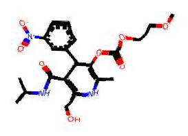 COCCOC(=O)OC1=C(C)NC(CO)=C(C(=O)NC(C)C)C1c1cccc([N+](=O)[O-])c1